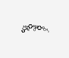 COc1ccc(C(=O)Nc2ccc3[nH]c(-c4cccs4)nc3c2)cc1